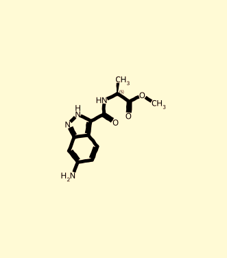 COC(=O)[C@H](C)NC(=O)c1[nH]nc2cc(N)ccc12